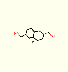 OCC1CCC2C[C@H](CO)CC[C@H]2C1